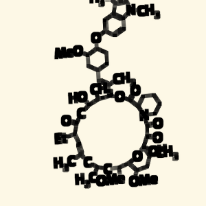 CCC1/C=C(\C)CC(C)CC(OC)C2OC(O)(C(=O)C(=O)N3CCCCC3C(=O)OC(C(C)=CC3CCC(Oc4ccc5c(c4)c(C)cn5C)C(OC)C3)C(C)C(O)CC1=O)C(C)CC2OC